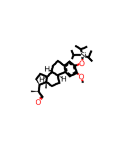 COc1cc2c(cc1O[Si](C(C)C)(C(C)C)C(C)C)CC[C@@H]1[C@@H]2CC[C@]2(C)[C@@H]([C@H](C)C=O)CC[C@@H]12